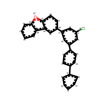 Clc1cc(-c2ccc(-c3ccccc3)cc2)cc(-c2ccc3oc4ccccc4c3c2)c1